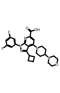 O=C(O)c1cc(N2CCC(N3CCOCC3)CC2)c2c(C3CCC3)nn(-c3cc(F)cc(F)c3)c2n1